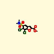 COC(=O)c1cc2cc(S(=O)(=O)N(C)C)c(Cl)c(Cl)c2o1